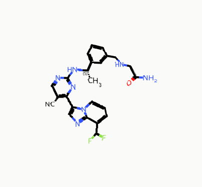 C[C@H](Nc1ncc(C#N)c(-c2cnc3c(C(F)F)cccn23)n1)c1cccc(CNCC(N)=O)c1